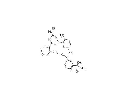 CCNc1nc(-c2cc(NC(=O)c3ccnc(C(C)(C)C#N)c3)ccc2C)cc(N2CCOCC2C)n1